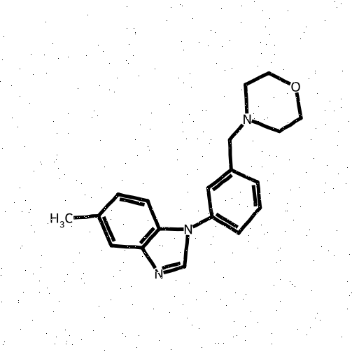 Cc1ccc2c(c1)ncn2-c1cccc(CN2CCOCC2)c1